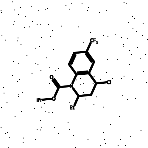 CCC1CC(Cl)c2cc(C(F)(F)F)ccc2N1C(=O)OC(C)C